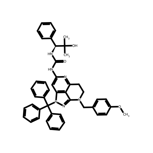 COc1ccc(CN2CCc3nc(NC(=O)N[C@@H](c4ccccc4)C(C)(C)O)cc4c3c2nn4C(c2ccccc2)(c2ccccc2)c2ccccc2)cc1